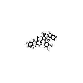 Cc1ccccc1S(=O)(=O)N1[C@@H](c2ccc(Cl)c(Cl)c2)C(C(=O)N[C@@H](Cc2ccccc2)C(N)=O)=C[C@H]1C(C)(C)C